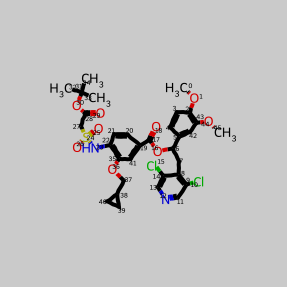 COc1ccc(C(Cc2c(Cl)cncc2Cl)OC(=O)c2ccc(NS(=O)(=O)CC(=O)OC(C)(C)C)c(OCC3CC3)c2)cc1OC